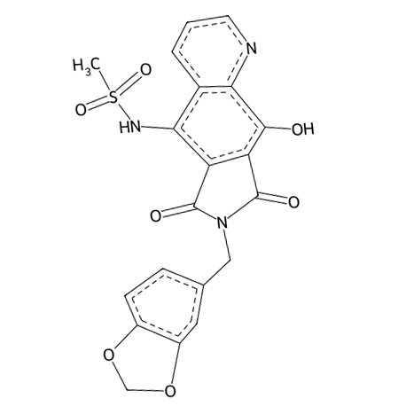 CS(=O)(=O)Nc1c2c(c(O)c3ncccc13)C(=O)N(Cc1ccc3c(c1)OCO3)C2=O